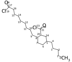 CCCCCC1CCC(CCCCCCCCC(=O)Cl)C(C(=O)Cl)C1